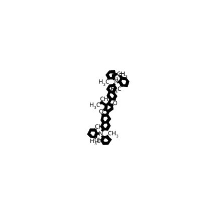 Cc1cccc(C)c1N(c1ccc2cc3c(cc2c1)oc1c(C(C)C)c2c(cc13)oc1cc3cc(N(c4c(C)cccc4C)c4c(C)cccc4C)ccc3cc12)c1c(C)cccc1C